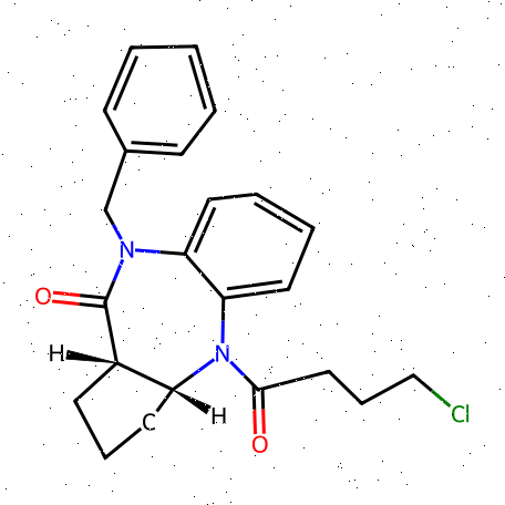 O=C1[C@H]2CCC[C@H]2N(C(=O)CCCCl)c2ccccc2N1Cc1ccccc1